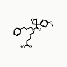 COc1ccc(C2(C(=O)N(CCCCC(=O)O)CCCc3ccccc3)COC2)cc1